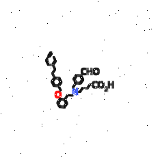 C#C/C=C\C(=C/C)CCc1ccc(COc2ccccc2CCN(CCCCC(=O)O)Cc2ccc(C=O)cc2)cc1